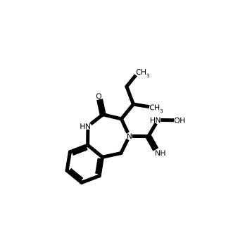 CCC(C)C1C(=O)Nc2ccccc2CN1C(=N)NO